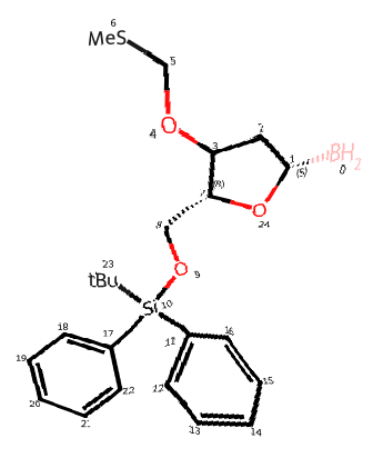 B[C@H]1CC(OCSC)[C@@H](CO[Si](c2ccccc2)(c2ccccc2)C(C)(C)C)O1